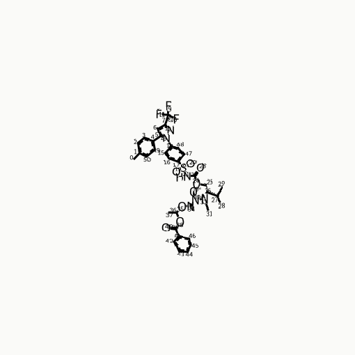 Cc1ccc(-c2cc(C(F)(F)F)nn2-c2ccc(S(=O)(=O)NC(=O)OC[C@H](C(C)C)N(C)[N+]([O-])=NOC(C)OC(=O)c3ccccc3)cc2)cc1